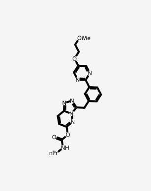 CCCNC(=O)Oc1ccc2nnc(Cc3cccc(-c4ncc(OCCOC)cn4)c3)n2n1